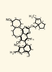 C[C@H]1CN2CCCC2(COc2nc3c4c(c(Cl)c(-c5ccc(F)c6sc(N)c(C#N)c56)c(F)c4n2)OCCC2CC(C#N)CCCN32)C1